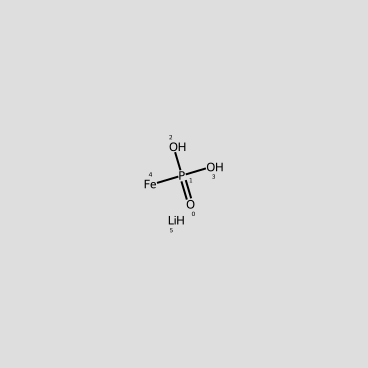 O=[P](O)(O)[Fe].[LiH]